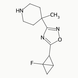 CC1(c2noc(C3C4CC43F)n2)CCNCC1